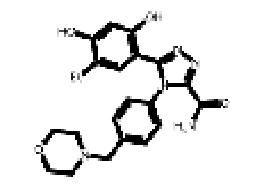 CCc1cc(-c2nnc(C(N)=O)n2-c2ccc(CN3CCOCC3)cc2)c(O)cc1O